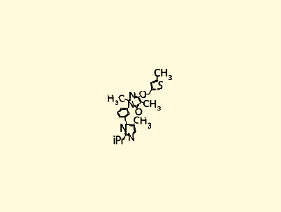 Cc1cc(COc2nc(C)n(-c3cccc(-c4nc(C(C)C)ncc4C)c3)c(=O)c2C)cs1